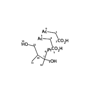 CC(=O)CC(=O)O.CC(=O)CC(=O)O.CC(C)C(C)(O)C(C)CO